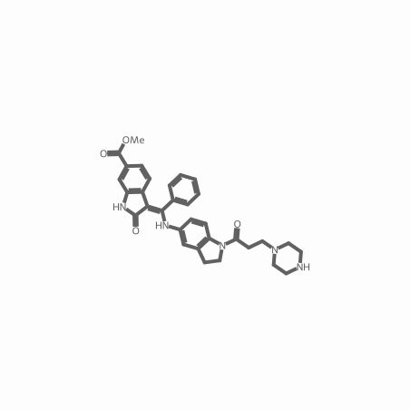 COC(=O)c1ccc2c(c1)NC(=O)/C2=C(\Nc1ccc2c(c1)CCN2C(=O)CCN1CCNCC1)c1ccccc1